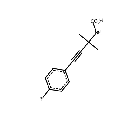 CC(C)(C#Cc1ccc(F)cc1)NC(=O)O